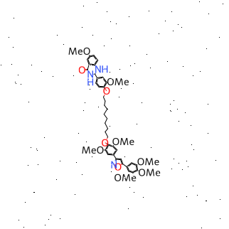 COc1ccc2c(c1)C(=O)NC(c1ccc(OCCCCCCCCCCOc3c(OC)cc(-c4cc(-c5cc(OC)c(OC)c(OC)c5)on4)cc3OC)c(OC)c1)N2